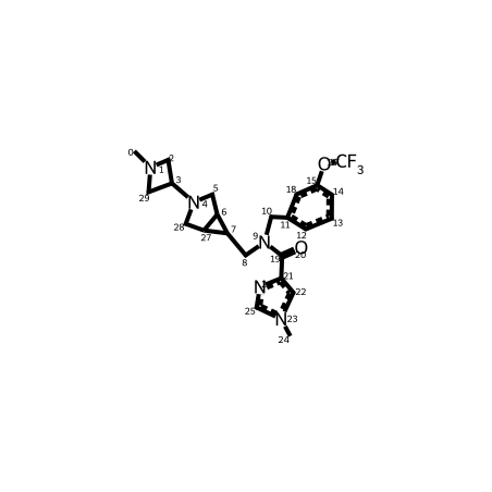 CN1CC(N2CC3C(CN(Cc4cccc(OC(F)(F)F)c4)C(=O)c4cn(C)cn4)C3C2)C1